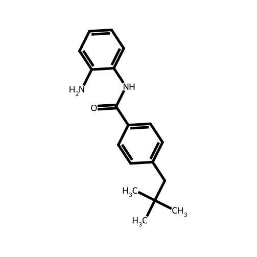 CC(C)(C)Cc1ccc(C(=O)Nc2ccccc2N)cc1